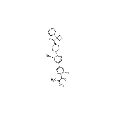 CN(C)C(=O)c1ccc(-c2cnc(N3CCN(C(=O)C4(c5ccccc5)CCC4)CC3)c(C#N)c2)cc1Cl